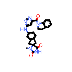 CN1C(=O)NC(=O)C12Cc1ccc(Nc3cc(C(=O)N4CCc5ccccc54)ncn3)cc1C2